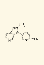 Cc1nc2ccncc2n1-c1ccc(C#N)cc1